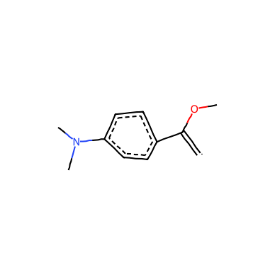 [CH]=C(OC)c1ccc(N(C)C)cc1